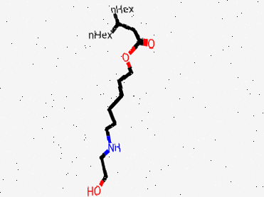 CCCCCCC(CCCCCC)CC(=O)OCCCCCCNCCO